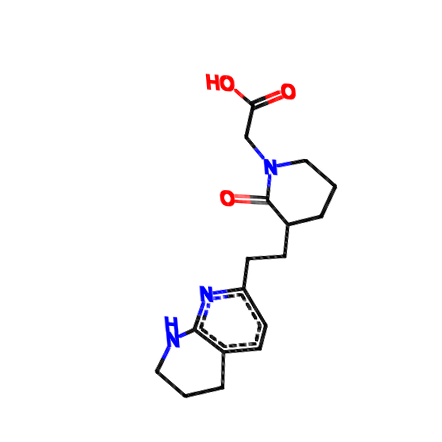 O=C(O)CN1CCCC(CCc2ccc3c(n2)NCCC3)C1=O